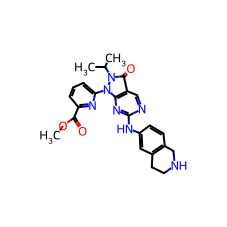 COC(=O)c1cccc(-n2c3nc(Nc4ccc5c(c4)CCNC5)ncc3c(=O)n2C(C)C)n1